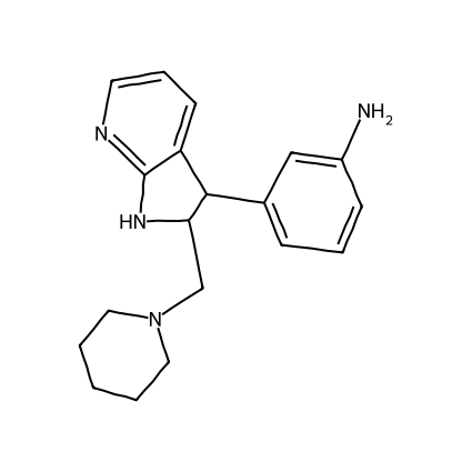 Nc1cccc(C2c3cccnc3NC2CN2CCCCC2)c1